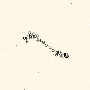 COc1cc(C(=O)NCCOCCOCCOCCOCCNCCC(=O)Nc2cccc3c2CN(C2CCC(=O)NC2=O)C3=O)ccc1N